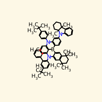 Cc1cc2c3c(c1)N(c1ccc(C(C)(C)C)cc1-c1ccccc1)c1cc4c(cc1B3c1ccc(N3c5ccccc5C5(C)CCCCC35C)cc1N2c1ccc(C(C)(C)C)cc1)C(C)(C)CCC4(C)C